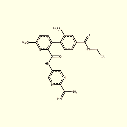 COc1ccc(-c2ccc(C(=O)NCC(C)(C)C)cc2C(=O)O)c(C(=O)Nc2cnc(C(=N)N)nc2)n1